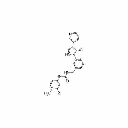 Cc1ccc(NC(=O)NCc2ccnc(-n3[nH]cc(-c4cccnc4)c3=O)c2)cc1Cl